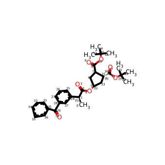 C[C@H](C(=O)O[C@H]1CC(C(=O)OC(C)(C)C)[C@H](C(=O)OC(C)(C)C)C1)c1cccc(C(=O)c2ccccc2)c1